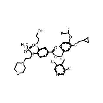 CS(=O)(=O)N(CCN1CCOCC1)c1ccc(C(=O)O[C@@H](Cc2c(Cl)cncc2Cl)c2ccc(OC(F)F)c(OCC3CC3)c2)cc1OCCO